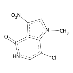 Cn1cc([N+](=O)[O-])c2c(=O)[nH]cc(Cl)c21